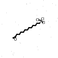 Cl[Si](Cl)(Cl)CCCCCCCCCCCCC1CO1